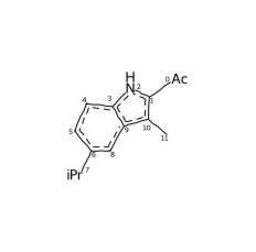 CC(=O)c1[nH]c2ccc(C(C)C)cc2c1C